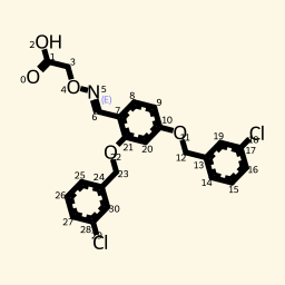 O=C(O)CO/N=C/c1ccc(OCc2cccc(Cl)c2)cc1OCc1cccc(Cl)c1